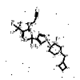 C#CCNC1=NC(N)(c2cnn([C@@H]3CCN(CC4CCC4)C[C@H]3F)c2)NC=C1C(F)(F)F